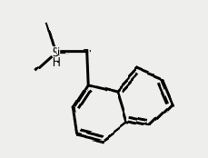 C[SiH](C)[CH]c1cccc2ccccc12